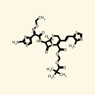 CCO/N=C(\C(=O)NC1C(=O)N2C(C(=O)OCOC(=O)C(C)(C)C)=C(/C=C/c3scnc3C)CS[C@H]12)c1csc(N)n1